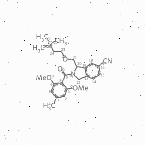 COc1cc(C)cc(OC)c1C(=O)N1Cc2ccc(C#N)cc2C1COCC[Si](C)(C)C